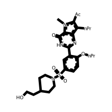 CCCOc1ccc(S(=O)(=O)N2CCC(CCO)CC2)cc1-c1nc2c(CCC)c(C(C)=O)n(C)c2c(=O)[nH]1